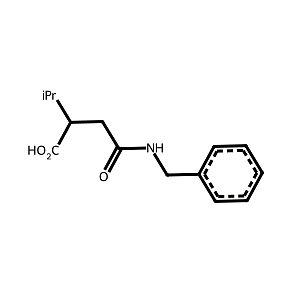 CC(C)C(CC(=O)NCc1ccccc1)C(=O)O